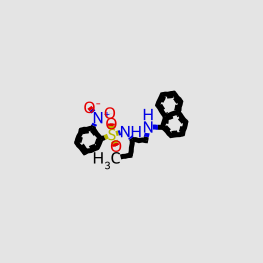 CCC(CNc1cccc2ccccc12)NS(=O)(=O)c1ccccc1[N+](=O)[O-]